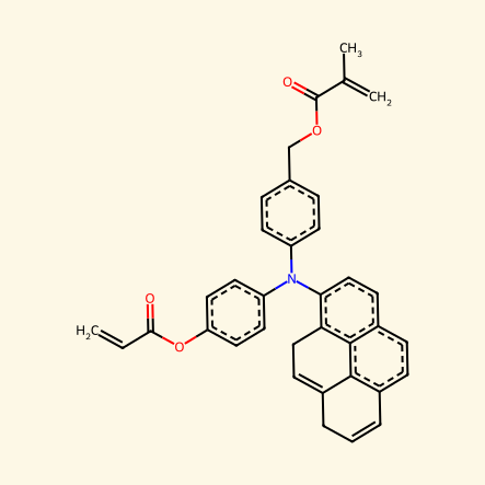 C=CC(=O)Oc1ccc(N(c2ccc(COC(=O)C(=C)C)cc2)c2ccc3ccc4c5c3c2CC=C5CC=C4)cc1